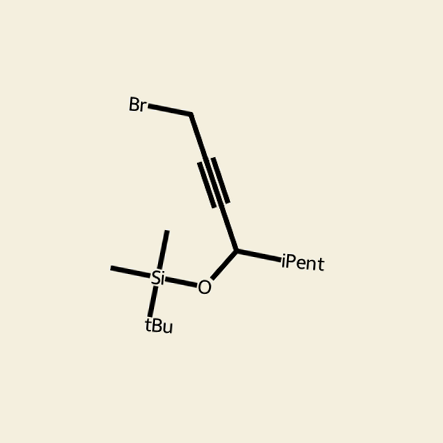 CCCC(C)C(C#CCBr)O[Si](C)(C)C(C)(C)C